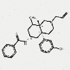 C=CCN1CC[C@@]2(c3cccc(O)c3)C[C@H](NC(=O)c3ccccc3)CC(OC)[C@@H]2C1